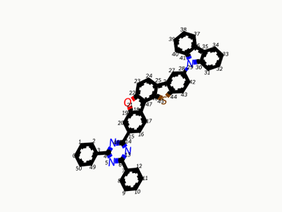 c1ccc(-c2nc(-c3ccccc3)nc(-c3ccc4c(c3)oc3ccc5c6cc(-n7c8ccccc8c8ccccc87)ccc6sc5c34)n2)cc1